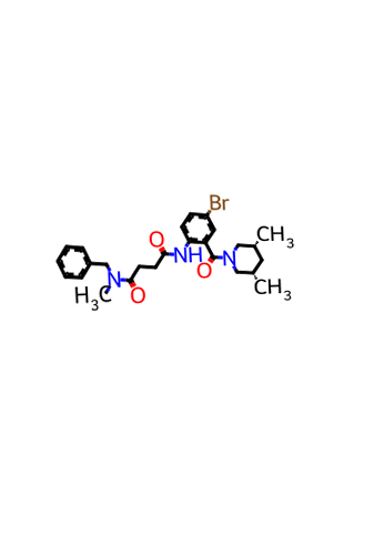 C[C@@H]1C[C@H](C)CN(C(=O)c2cc(Br)ccc2NC(=O)CCC(=O)N(C)Cc2ccccc2)C1